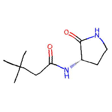 CC(C)(C)CC(=O)N[C@H]1CCNC1=O